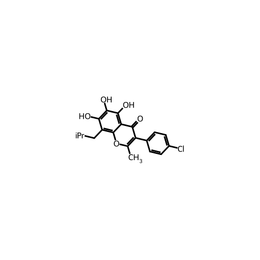 Cc1oc2c(CC(C)C)c(O)c(O)c(O)c2c(=O)c1-c1ccc(Cl)cc1